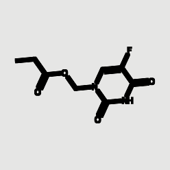 CCC(=O)OCn1cc(F)c(=O)[nH]c1=O